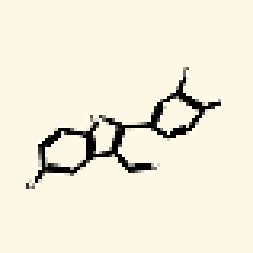 O=Cc1c(-c2ccc(F)c(F)c2)[nH]c2ccc(Cl)cc12